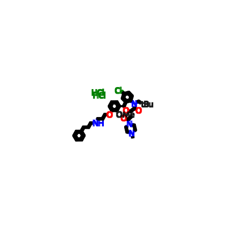 COc1c(OCCCNCCCc2ccccc2)cccc1[C@@H]1O[C@@H](CC(=O)N2CCN(C)CC2)C(=O)N(CC(C)(C)C)c2ccc(Cl)cc21.Cl.Cl